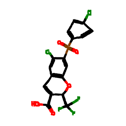 O=C(O)C1=Cc2cc(Cl)c(S(=O)(=O)c3ccc(Cl)cc3)cc2OC1C(F)(F)F